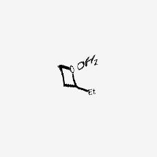 CCC1CCO1.O